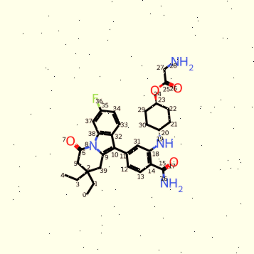 CCC1(CC)CC(=O)n2c(c(-c3ccc(C(N)=O)c(N[C@H]4CC[C@H](OC(=O)CN)CC4)c3)c3ccc(F)cc32)C1